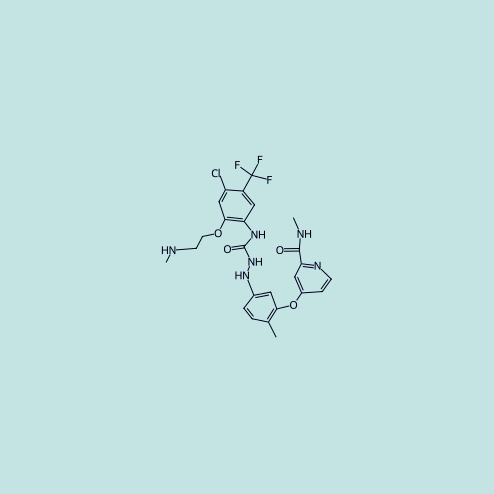 CNCCOc1cc(Cl)c(C(F)(F)F)cc1NC(=O)NNc1ccc(C)c(Oc2ccnc(C(=O)NC)c2)c1